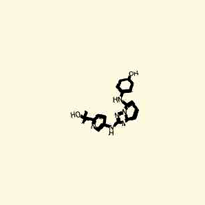 CC(C)(O)c1ccc(Nc2nc3cccc(NC4CCC(O)CC4)n3n2)cn1